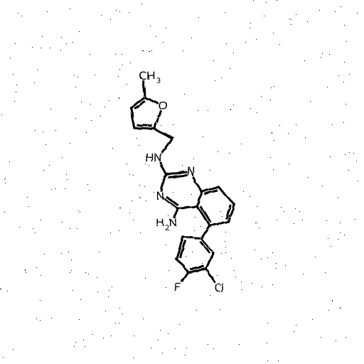 Cc1ccc(CNc2nc(N)c3c(-c4ccc(F)c(Cl)c4)cccc3n2)o1